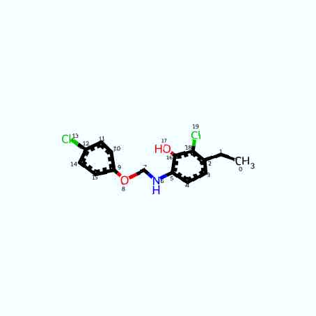 CCc1ccc(NCOc2ccc(Cl)cc2)c(O)c1Cl